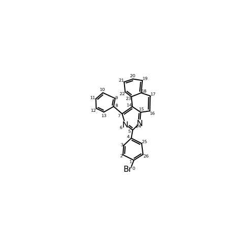 Brc1ccc(-c2nc(-c3ccccc3)c3c(ccc4ccccc43)n2)cc1